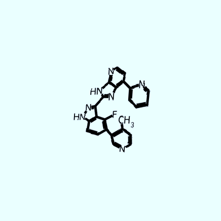 Cc1ccncc1-c1ccc2[nH]nc(-c3nc4c(-c5ccccn5)ccnc4[nH]3)c2c1F